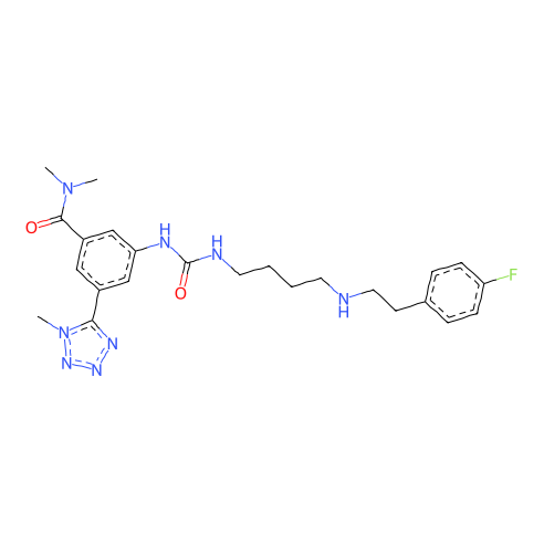 CN(C)C(=O)c1cc(NC(=O)NCCCCNCCc2ccc(F)cc2)cc(-c2nnnn2C)c1